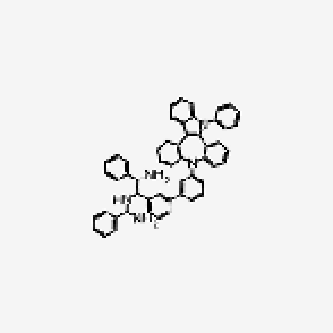 NC(NC(c1cccc(-c2cccc(N3C4=C(CCC=C4)c4c(n(-c5ccccc5)c5ccccc45)-c4ccccc43)c2)c1)[C@@H](N)c1ccccc1)c1ccccc1